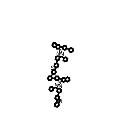 c1ccc(-c2ccc3c4cc5ccccc5cc4n(-c4nc(-c5ccccc5)c5cc(-c6ccc7c(c6)sc6cc(-c8ccccc8-c8ccc9c%10cc%11ccccc%11cc%10n(-c%10nc(-c%11ccccc%11)c%11cc(-c%12ccc%13c(c%12)oc%12ccccc%12%13)ccc%11n%10)c9c8)ccc67)ccc5n4)c3c2)cc1